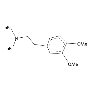 CCCN(CCC)CCc1ccc(OC)c(OC)c1